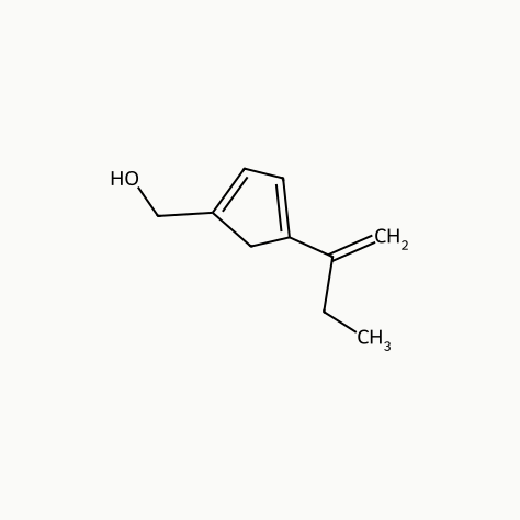 C=C(CC)C1=CC=C(CO)C1